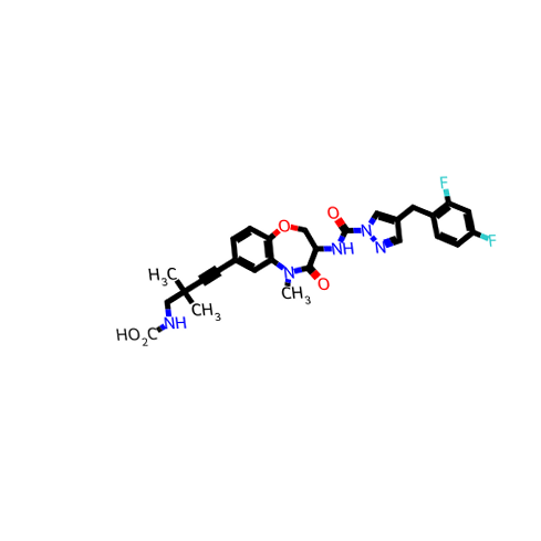 CN1C(=O)C(NC(=O)n2cc(Cc3ccc(F)cc3F)cn2)COc2ccc(C#CC(C)(C)CNC(=O)O)cc21